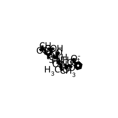 CC(=O)OCC1=C(C(=O)O)N2C(=O)[C@@H](NC(=O)[C@@H](NC(=O)COc3ccccc3[N+](=O)[O-])C(C)C)[C@H]2SC1